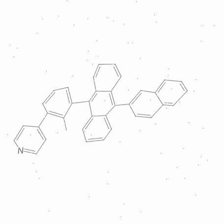 Cc1c(-c2ccncc2)cccc1-c1c2ccccc2c(-c2ccc3ccccc3c2)c2ccccc12